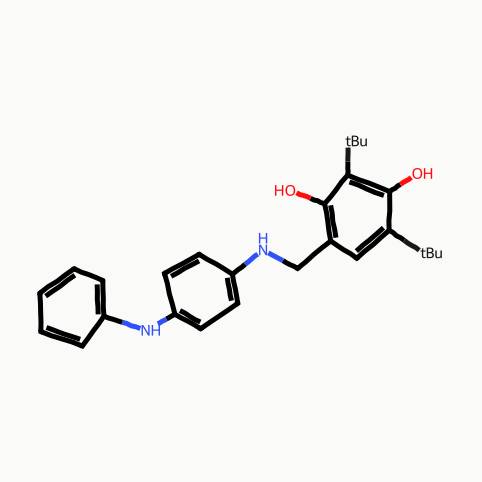 CC(C)(C)c1cc(CNc2ccc(Nc3ccccc3)cc2)c(O)c(C(C)(C)C)c1O